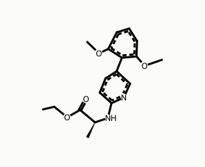 CCOC(=O)[C@H](C)Nc1ccc(-c2c(OC)cccc2OC)cn1